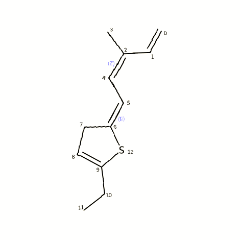 C=C/C(C)=C\C=C1/CC=C(CC)S1